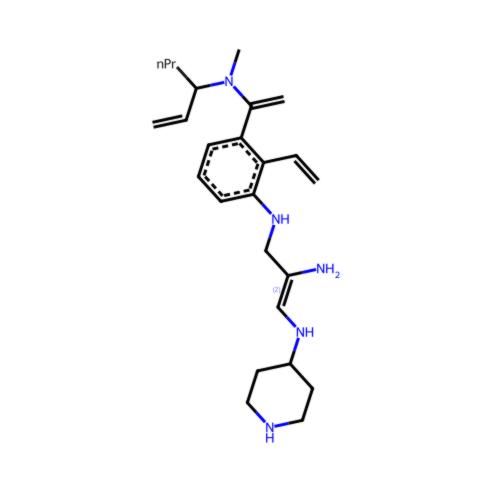 C=Cc1c(NC/C(N)=C/NC2CCNCC2)cccc1C(=C)N(C)C(C=C)CCC